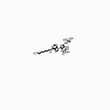 NCCCCCCNc1ncnc2c1ncn2[C@@H]1O[C@H](COP(=O)(O)O)[C@@H](O)[C@H]1OP(=O)(O)O